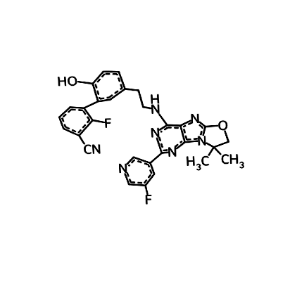 CC1(C)COc2nc3c(NCCc4ccc(O)c(-c5cccc(C#N)c5F)c4)nc(-c4cncc(F)c4)nc3n21